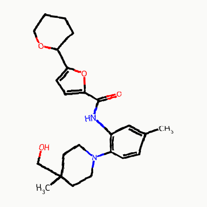 Cc1ccc(N2CCC(C)(CO)CC2)c(NC(=O)c2ccc(C3CCCCO3)o2)c1